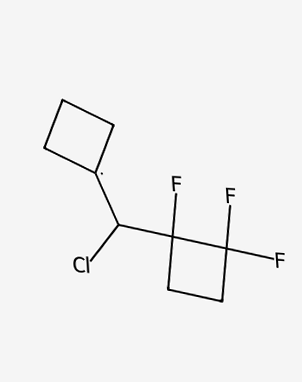 FC1(F)CCC1(F)C(Cl)[C]1CCC1